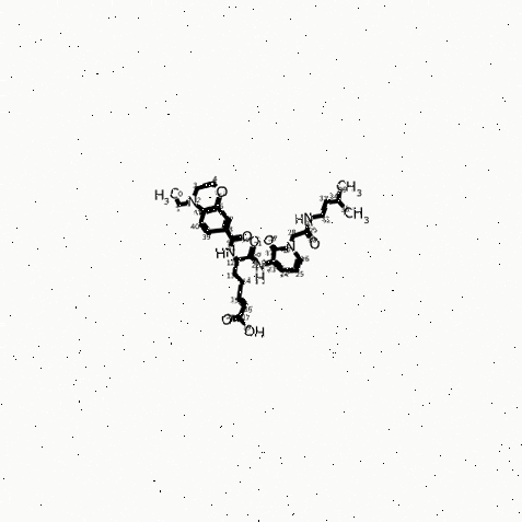 CCN1CCOc2cc(C(=O)NC(CCC=CC(=O)O)C(=O)Nc3cccn(CC(=O)NCCC(C)C)c3=O)ccc21